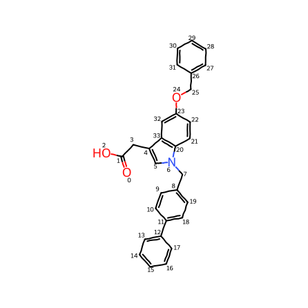 O=C(O)Cc1cn(Cc2ccc(-c3ccccc3)cc2)c2ccc(OCc3ccccc3)cc12